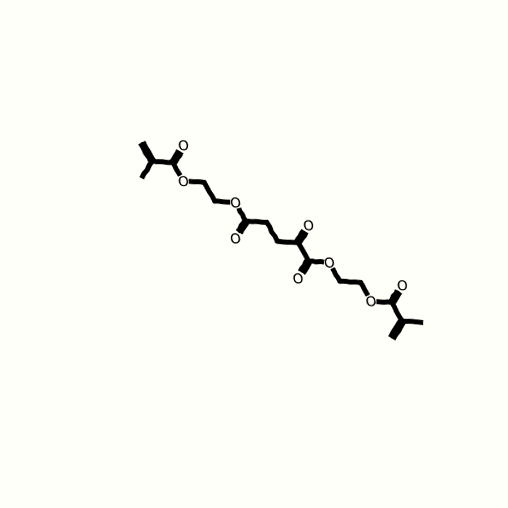 C=C(C)C(=O)OCCOC(=O)CCC(=O)C(=O)OCCOC(=O)C(=C)C